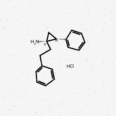 Cl.N[C@]1(CCc2ccccc2)C[C@@H]1c1ccccc1